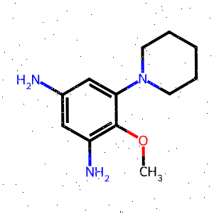 COc1c(N)cc(N)cc1N1CCCCC1